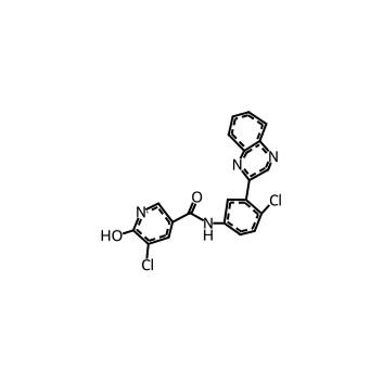 O=C(Nc1ccc(Cl)c(-c2cnc3ccccc3n2)c1)c1cnc(O)c(Cl)c1